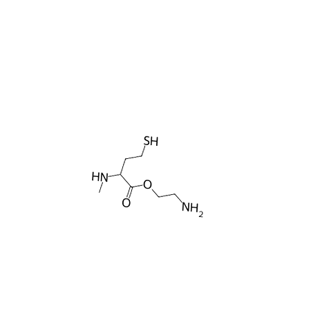 CNC(CCS)C(=O)OCCN